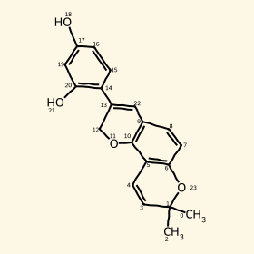 CC1(C)C=Cc2c(ccc3c2OCC(c2ccc(O)cc2O)=C3)O1